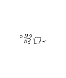 O=S(=O)(c1ccc(F)cc1)C(Cl)(Cl)Cl